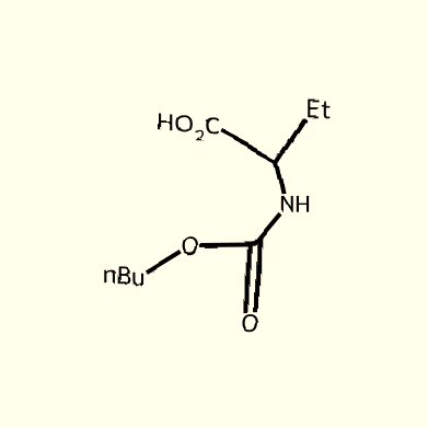 [CH2]CC(NC(=O)OCCCC)C(=O)O